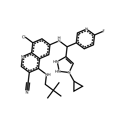 CC(C)(C)CNc1c(C#N)cnc2c(Cl)cc(NC(C3=CN(C4CC4)NN3)c3ccc(F)nc3)cc12